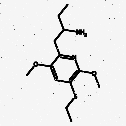 CCSc1cc(OC)c(CC(N)CC)nc1OC